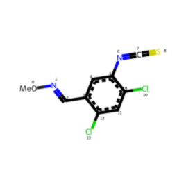 CON=Cc1cc(N=C=S)c(Cl)cc1Cl